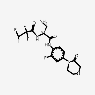 NC[C@H](NC(=O)C(F)(F)C(F)F)C(=O)Nc1ccc(N2CCOCC2=O)cc1F